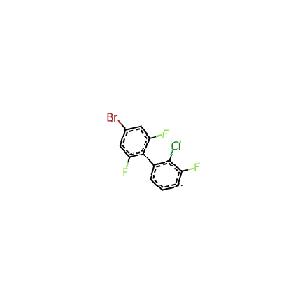 Fc1[c]ccc(-c2c(F)cc(Br)cc2F)c1Cl